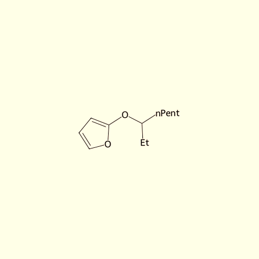 [CH2]CCCCC(CC)Oc1ccco1